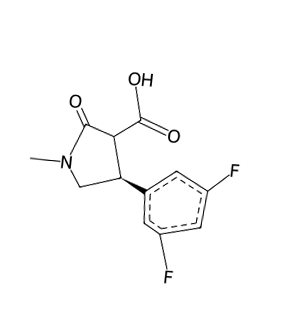 CN1C[C@H](c2cc(F)cc(F)c2)C(C(=O)O)C1=O